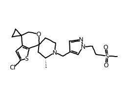 C[C@@H]1CC2(CCN1Cc1cnn(CCS(C)(=O)=O)c1)OCC1(CC1)c1cc(Cl)sc12